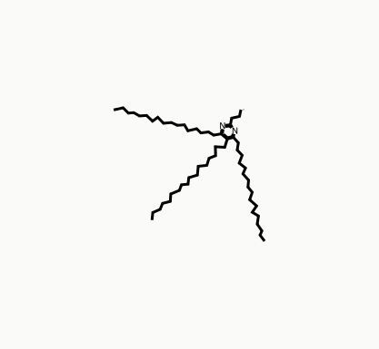 [CH2]CCc1nc(CCCCCCCCCCCCCCCCC)c(CCCCCCCCCCCCCCCCC)c(CCCCCCCCCCCCCCCCC)n1